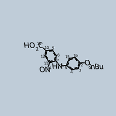 CCCCOc1ccc(Nc2ccc(C(=O)O)cc2N=O)cc1